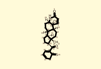 C[C@]12C=CC(=O)N[C@@H]1CC[C@@H]1[C@@H]2CC[C@]2(C)[C@@H](C(=O)C3=CC=CCC3=S)CC[C@@H]12